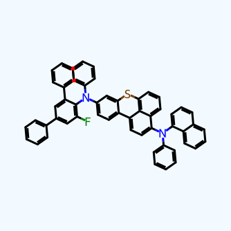 Fc1cc(-c2ccccc2)cc(-c2ccccc2)c1N(c1ccccc1)c1ccc2c(c1)Sc1cccc3c(N(c4ccccc4)c4cccc5ccccc45)ccc-2c13